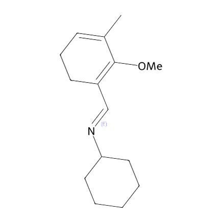 COC1=C(/C=N/C2CCCCC2)CCC=C1C